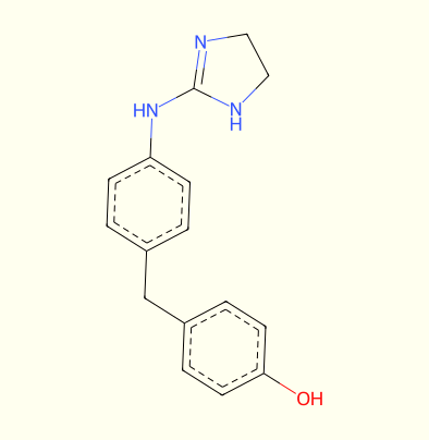 Oc1ccc(Cc2ccc(NC3=NCCN3)cc2)cc1